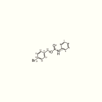 O=C(Nc1ccccc1)OCc1ccc(Br)cc1